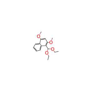 CCOC(OCC)c1c(OC)cc(OC)c2ccccc12